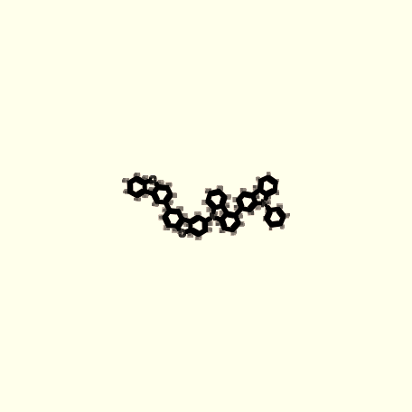 c1ccc(-n2c3ccccc3c3ccc(-c4cccc5c4c4ccccc4n5-c4ccc5oc6ccc(-c7ccc8oc9ccccc9c8c7)cc6c5c4)cc32)cc1